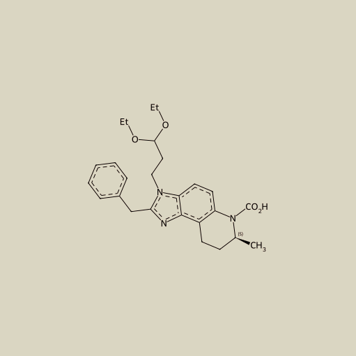 CCOC(CCn1c(Cc2ccccc2)nc2c3c(ccc21)N(C(=O)O)[C@@H](C)CC3)OCC